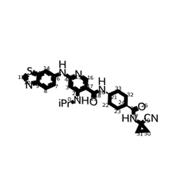 CC(C)Nc1cc(Nc2ccc3ncsc3c2)ncc1C(=O)N[C@H]1CC[C@H](C(=O)NC2(C#N)CC2)CC1